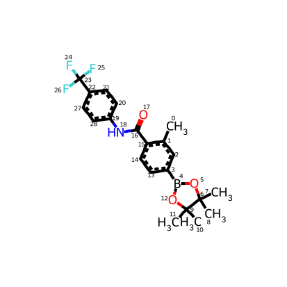 Cc1cc(B2OC(C)(C)C(C)(C)O2)ccc1C(=O)Nc1ccc(C(F)(F)F)cc1